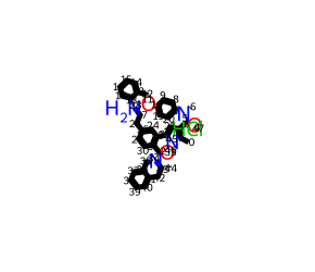 Cc1c(C(=O)N(C)c2ccc(OCc3ccccc3)cc2)cc(-c2cc(CCN)ccc2C(=O)N2Cc3ccccc3C[C@H]2C)n1C.Cl